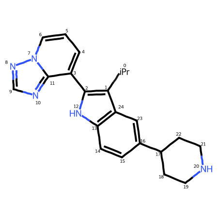 CC(C)c1c(-c2cccn3ncnc23)[nH]c2ccc(C3CCNCC3)cc12